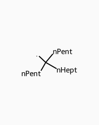 [CH2]C(CCCCC)(CCCCC)CCCCCCC